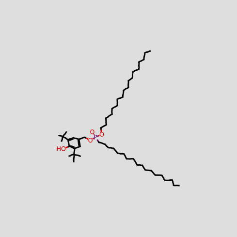 CCCCCCCCCCCCCCCCCCOP(=O)(CCCCCCCCCCCCCCCCCC)OCc1cc(C(C)(C)C)c(O)c(C(C)(C)C)c1